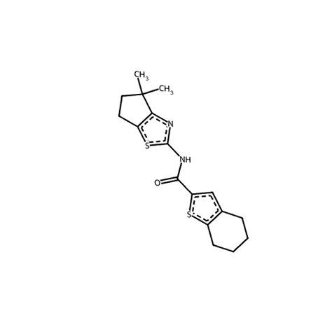 CC1(C)CCc2sc(NC(=O)c3cc4c(s3)CCCC4)nc21